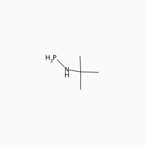 CC(C)(C)NP